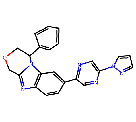 c1ccc(C2COCc3nc4ccc(-c5cnc(-n6cccn6)cn5)cc4n32)cc1